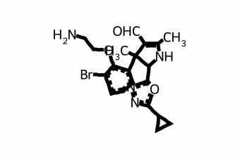 CC1=C(C=O)C(C)(c2cccc(Br)c2OCCN)C(c2nnc(C3CC3)o2)N1